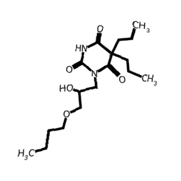 CCCCOCC(O)CN1C(=O)NC(=O)C(CCC)(CCC)C1=O